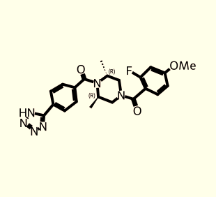 COc1ccc(C(=O)N2C[C@@H](C)N(C(=O)c3ccc(-c4nnn[nH]4)cc3)[C@H](C)C2)c(F)c1